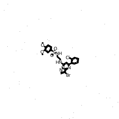 COc1ccc(S(=O)(=O)NCCNc2cc(-c3ccccc3Cl)nc3c(Br)cnn23)cc1OC